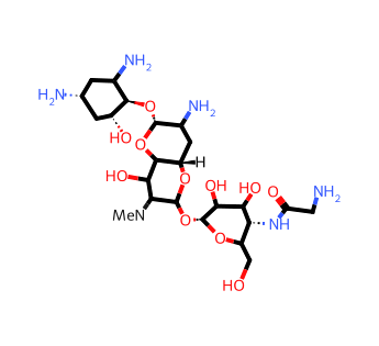 CNC1C(O[C@H]2OC(CO)[C@@H](NC(=O)CN)C(O)C2O)O[C@H]2CC(N)[C@@H](O[C@@H]3C(N)C[C@@H](N)C[C@H]3O)OC2C1O